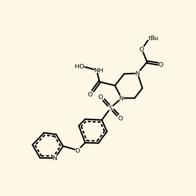 CC(C)(C)OC(=O)N1CCN(S(=O)(=O)c2ccc(Oc3ccccn3)cc2)C(C(=O)NO)C1